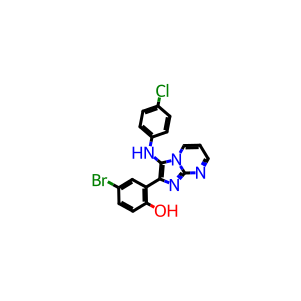 Oc1ccc(Br)cc1-c1nc2ncccn2c1Nc1ccc(Cl)cc1